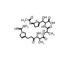 CC(=O)N=C1CC=C(C(O)C(NC(=O)C(C)NC(=O)C(C)N(N)C(=O)CCC2=CCN(C(=N)N)C2)C(=O)O)S1